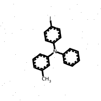 Cc1cccc(N(c2ccccc2)c2ccc(I)cc2)c1